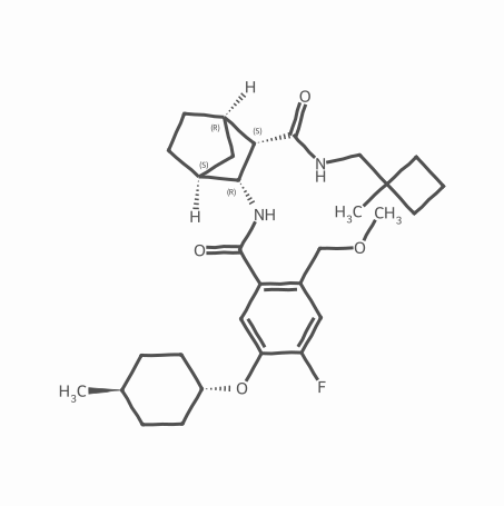 COCc1cc(F)c(O[C@H]2CC[C@H](C)CC2)cc1C(=O)N[C@@H]1[C@H]2CC[C@H](C2)[C@@H]1C(=O)NCC1(C)CCC1